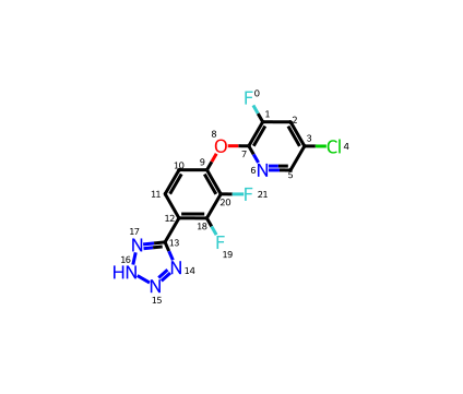 Fc1cc(Cl)cnc1Oc1ccc(-c2nn[nH]n2)c(F)c1F